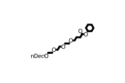 CCCCCCCCCCOCCOCCOCCOCCCC(=O)OC1CCCCC1